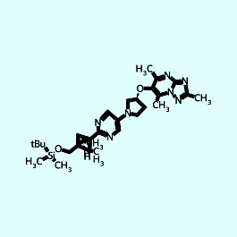 Cc1nc2nc(C)c(O[C@@H]3CCN(c4cnc(C56CC(CO[Si](C)(C)C(C)(C)C)([C@@H]5C)[C@@H]6C)nc4)C3)c(C)n2n1